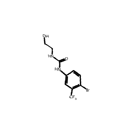 O=C(NCCO)Nc1ccc(Br)c(C(F)(F)F)c1